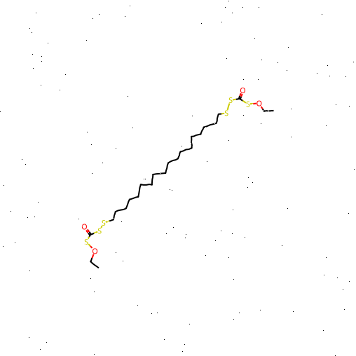 CCOSC(=O)SSCCCCCCCCCCCCCCCCCCSSC(=O)SOCC